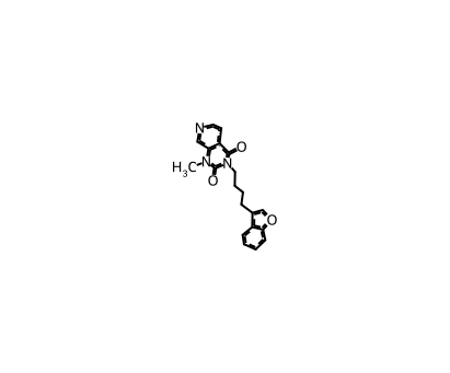 Cn1c(=O)n(CCCCc2coc3ccccc23)c(=O)c2ccncc21